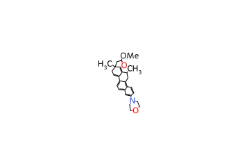 COC(=O)CC1(C)C=C2C(=CC1)c1ccc3cc(N4CCOCC4)ccc3c1CC2C